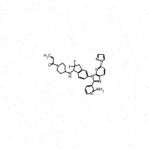 C=CC(=O)N1CCC(N[C@@H]2c3ccc(-n4c(-c5cccnc5N)nc5ccc(-n6cccn6)nc54)cc3CC2(F)F)CC1